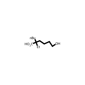 CCCCC(CC)(CCCCO)C(=O)O